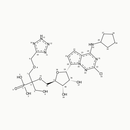 O=P(O)(O)C(CO)(COCc1nn[nH]n1)OC[C@H]1O[C@H](c2ccc3c(NC4CCCC4)nc(Cl)nn23)[C@H](O)[C@@H]1O